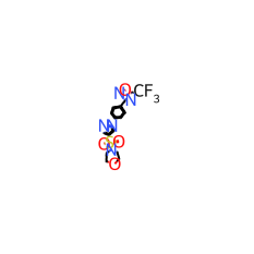 O=S(=O)(c1cnn(-c2ccc(-c3noc(C(F)(F)F)n3)cc2)c1)N1CCOCC1